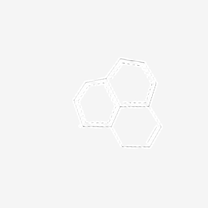 [c]1ccc2cccc3c2c1CC=C3